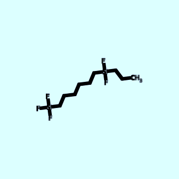 CCC[Si](F)(F)CCCCCC[Si](F)(F)F